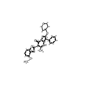 COc1cccc2oc(-c3c(C)[nH]c4c(-c5ccccc5)c(OC5CCOCC5)nn4c3=O)nc12